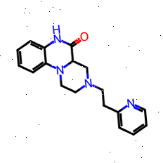 O=C1Nc2ccccc2N2CCN(CCc3ccccn3)CC12